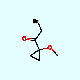 COC1(C(=O)CBr)CC1